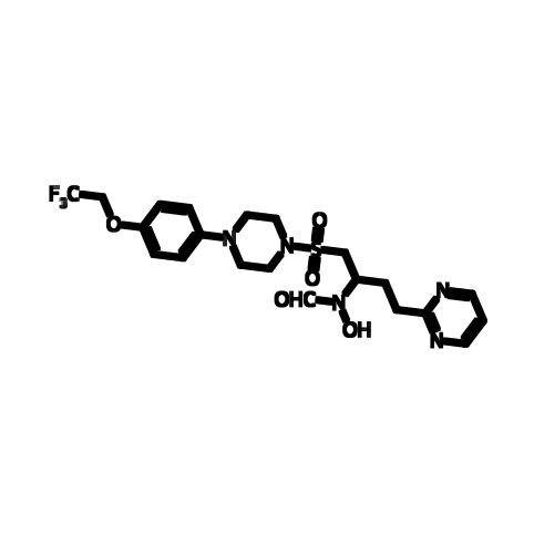 O=CN(O)C(CCc1ncccn1)CS(=O)(=O)N1CCN(c2ccc(OCC(F)(F)F)cc2)CC1